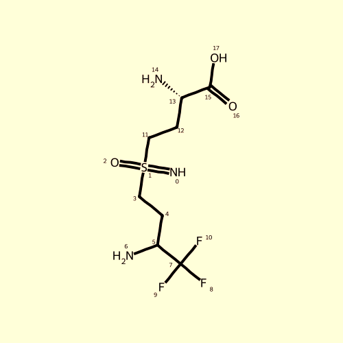 N=S(=O)(CCC(N)C(F)(F)F)CC[C@H](N)C(=O)O